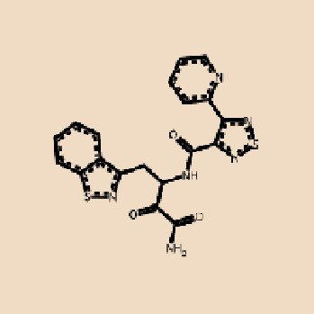 NC(=O)C(=O)C(Cc1nsc2ccccc12)NC(=O)c1nsnc1-c1ccccn1